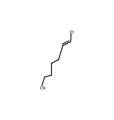 CCC=C[CH]CCCC#N